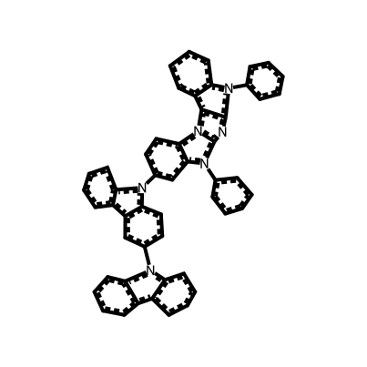 c1ccc(-n2c3ccccc3c3c2nc2n(-c4ccccc4)c4cc(-n5c6ccccc6c6cc(-n7c8ccccc8c8ccccc87)ccc65)ccc4n32)cc1